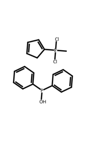 OP(c1ccccc1)c1ccccc1.[CH3][Ir]([Cl])([Cl])[C]1=CC=CC1